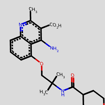 Cc1nc2cccc(OCC(C)(C)NC(=O)C3CCOCC3)c2c(N)c1C(=O)O